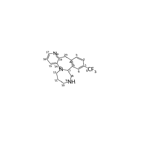 FC(F)(F)c1ccc2c(c1)C1CNCCCN1c1cccnc1C2